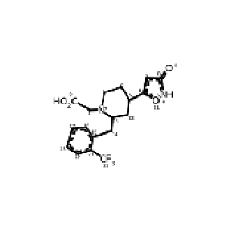 O=C(O)CN1CCC(c2cc(=O)[nH]o2)CC1Cc1ccccc1C(F)(F)F